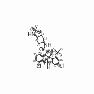 CC(C)(C)C[C@H]1N[C@@H](C(=O)NC2CCC(NS(C)(=O)=O)CC2)[C@H](c2cccc(Cl)c2F)[C@@]12C(=O)Nc1cc(Cl)ccc12